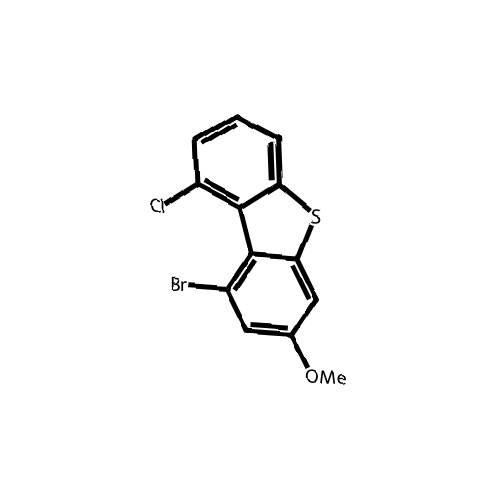 COc1cc(Br)c2c(c1)sc1cccc(Cl)c12